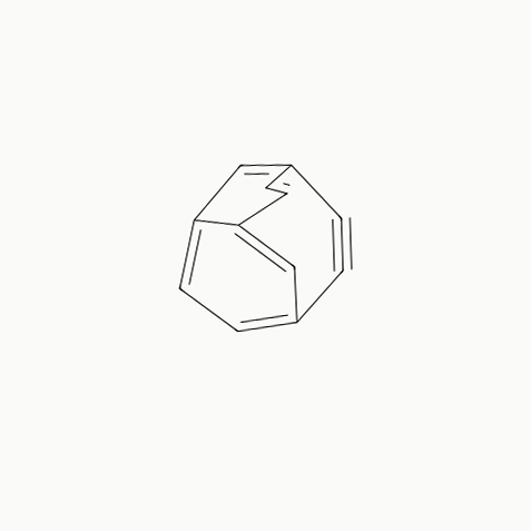 C1#Cc2ccc3cc1ccc3c2